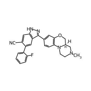 CN1CCN2c3ccc(-c4n[nH]c5cc(C#N)c(-c6ccccc6F)cc45)cc3OC[C@H]2C1